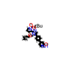 CC(C)(C)OC(=O)N1CCCC1c1ncc(-c2ccc(-c3cc[nH]c(=O)c3)cc2)n1COCC[Si](C)(C)C